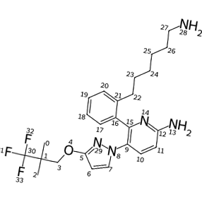 CC(C)(COc1ccn(-c2ccc(N)nc2-c2ccccc2CCCCCCN)n1)C(F)(F)F